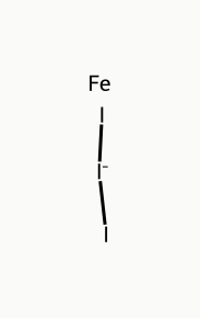 I[I-]I.[Fe]